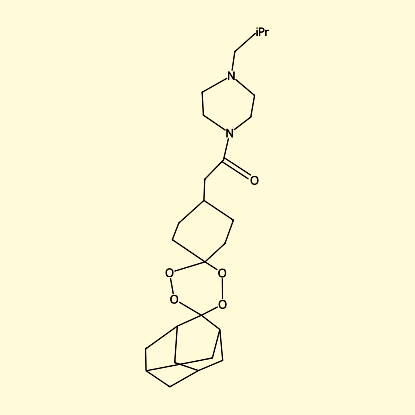 CC(C)CN1CCN(C(=O)CC2CCC3(CC2)OOC2(OO3)C3CC4CC(C3)CC2C4)CC1